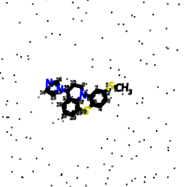 CSc1ccc2c(c1)N1CCC(n3ccnc3)c3cccc(c31)S2